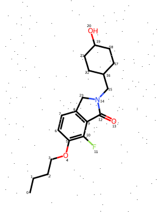 CCCCOc1ccc2c(c1F)C(=O)N(CC1CCC(O)CC1)C2